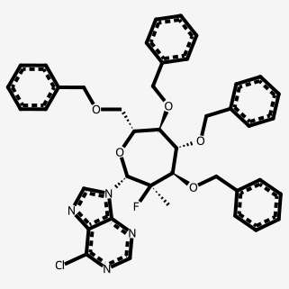 C[C@@]1(F)[C@H](OCc2ccccc2)[C@@H](OCc2ccccc2)[C@H](OCc2ccccc2)[C@@H](COCc2ccccc2)O[C@H]1n1cnc2c(Cl)ncnc21